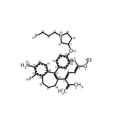 C=C(C)/C(=C\C=C(\OCC)C(C)CC)C1=C(c2ccc(OC3CCN(CCCF)C3)cc2)c2ccc(N)c(F)c2CCC1